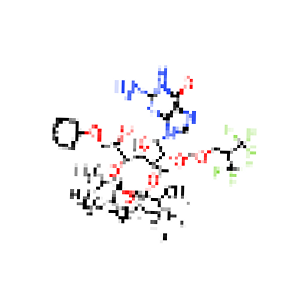 CC(C)[Si]1(C(C)C)OC(C(=O)COc2ccccc2)[C@H]2O[C@@H](n3cnc4c(=O)[nH]c(N)nc43)[C@H](OCOCC(C(F)(F)F)C(F)(F)F)[C@@H]2O[Si](C(C)C)(C(C)C)O1